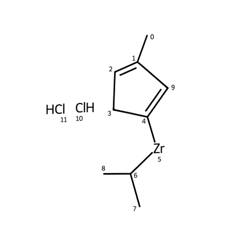 CC1=CC[C]([Zr][CH](C)C)=C1.Cl.Cl